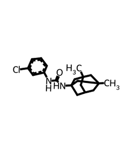 CC12CC3CC(C)(C1)CC(NC(=O)Nc1cccc(Cl)c1)(C3)C2